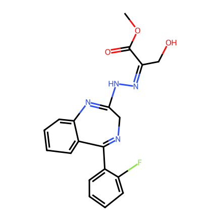 COC(=O)C(CO)=NNC1=Nc2ccccc2C(c2ccccc2F)=NC1